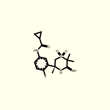 CC1(C)C(=N)N[C@](C)(c2cc(NC(=O)C3CC3)ccc2F)CS1(=O)=O